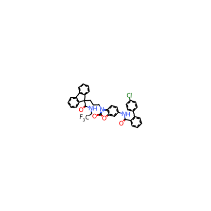 O=C(Nc1ccc2c(c1)oc(=O)n2CCCC1(C(=O)NCC(F)(F)F)c2ccccc2-c2ccccc21)c1ccccc1-c1ccc(Cl)cc1